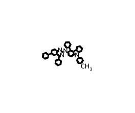 Cc1ccc(-n2c3ccccc3c3c4c5ccccc5n(-c5nc(-c6ccccc6)c6cc(-c7ccccc7)ccc6n5)c4ccc32)cc1